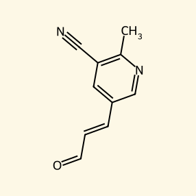 Cc1ncc(/C=C/C=O)cc1C#N